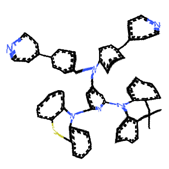 CC1(C)c2ccccc2N(c2cc(N(c3ccc(-c4ccncc4)cc3)c3ccc(-c4ccncc4)cc3)cc(N3c4ccccc4Sc4ccccc43)n2)c2ccccc21